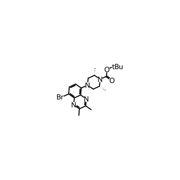 Cc1nc2c(Br)ccc(N3C[C@@H](C)N(C(=O)OC(C)(C)C)[C@@H](C)C3)c2nc1C